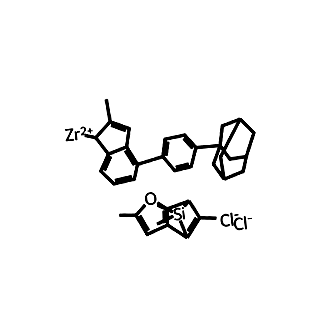 CC1=C2c3cc(C)oc3C1[Si]2(C)C.CC1=Cc2c(-c3ccc(C45CC6CC(CC(C6)C4)C5)cc3)cccc2[CH]1[Zr+2].[Cl-].[Cl-]